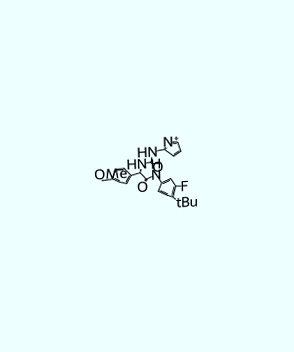 COCc1ccc([C@@H](NC(=O)NC2=[N+]=CC=C2)C(=O)Nc2ccc(C(C)(C)C)c(F)c2)cc1